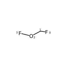 FCOF